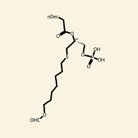 CCCCCCCCCCCC(=O)O[C@H](COP(=O)(O)O)CSCCCCCCCOC=O